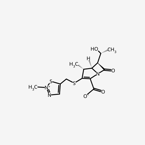 C[C@@H](O)[C@H]1C(=O)N2C(C(=O)[O-])=C(SCc3cn[n+](C)s3)[C@H](C)[C@@H]12